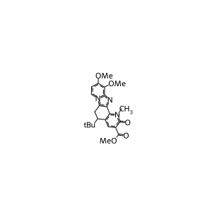 COC(=O)c1cc2c(n(C)c1=O)-c1nc3c(OC)c(OC)ccn3c1CC2C(C)(C)C